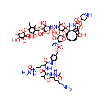 CCN(C(=O)OCc1ccc(NC(=O)[C@H](CCCNC(N)=O)NC(=O)[C@@H](NC(=O)[C@H](CCCCN)NC(C)=O)C(C)C)cc1)[C@H]1CO[C@@H](O[C@H]2[C@H](O[C@H]3C#CC=CC#C[C@]4(O)CC(=O)C(NC(=O)OC)=C3/C4=C\CSSC3CCNCC3)O[C@H](C)[C@@H](NO[C@H]3C[C@H](O)[C@H]([SH]=C(O)c4c(C)c(I)c(O[C@@H]5O[C@@H](C)[C@H](O)[C@@H](OC)[C@H]5O)c(OC)c4OC)[C@@H](C)O3)[C@@H]2O)C[C@@H]1OC